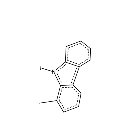 Cc1cccc2c3ccccc3n(I)c12